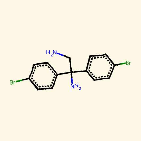 NCC(N)(c1ccc(Br)cc1)c1ccc(Br)cc1